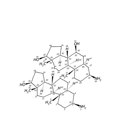 C[C@]12CC[C@H](N)C[C@@H]1CC[C@@H]1[C@@H]2CC[C@]2(C)[C@@H](O)CC[C@@H]12.C[C@]12CC[C@H](N)C[C@@H]1C[C@H](O)[C@@H]1[C@@H]2CC[C@]2(C)[C@@H](O)CC[C@@H]12